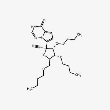 CCCCOC[C@H]1O[C@@](C#N)(c2ccc3c(=O)[nH]cnn23)[C@H](OCCCC)[C@@H]1OCCCC